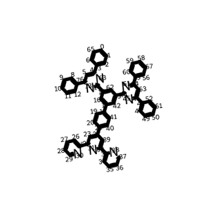 c1ccc(-c2cc(-c3ccccc3)nc(-c3cc(-c4ccc(-c5cc(-c6ccccn6)nc(-c6ccccn6)c5)cc4)cc(-c4nc(-c5ccccc5)cc(-c5ccccc5)n4)c3)n2)cc1